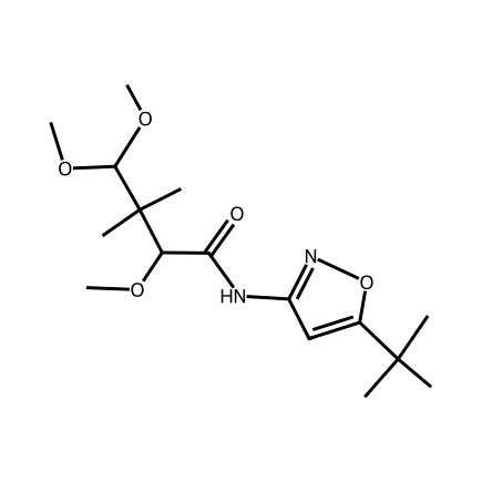 COC(OC)C(C)(C)C(OC)C(=O)Nc1cc(C(C)(C)C)on1